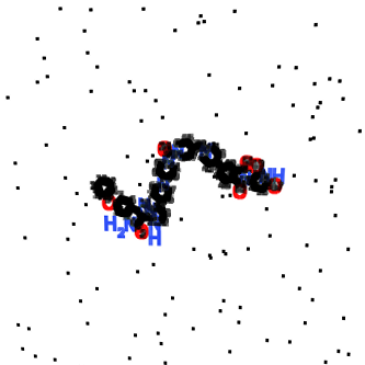 NC(=O)c1c(-c2ccc(Oc3ccccc3)cc2)nn2c1NCC[C@H]2C1CCN(C2CCN(C(=O)N3CCC(CN4CCC(c5ccc6c(c5)C(=O)N(C5CCC(=O)NC5=O)C6=O)CC4)CC3)CC2)CC1